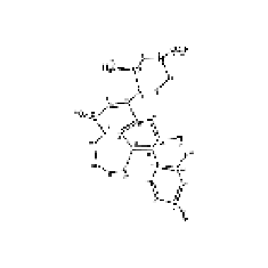 C[C@H]1CN(C(=O)O)CCN1c1nc(=O)n2c3c(c(-c4ccc(F)cc4F)c(Cl)cc13)SCCC2